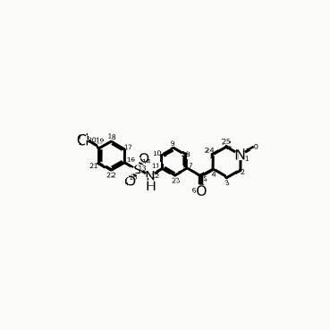 CN1CCC(C(=O)c2cccc(NS(=O)(=O)c3ccc(Cl)cc3)c2)CC1